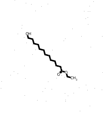 CCOC(=O)CCCCCCCCCCCCO